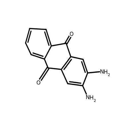 Nc1cc2c(cc1N)C(=O)c1ccccc1C2=O